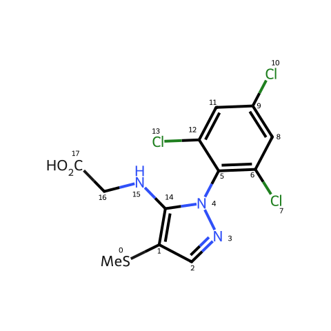 CSc1cnn(-c2c(Cl)cc(Cl)cc2Cl)c1NCC(=O)O